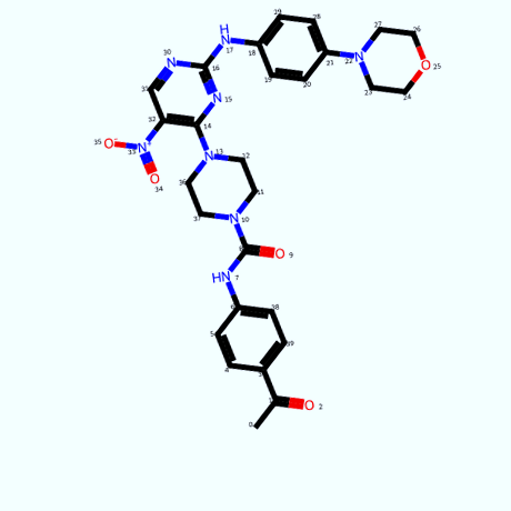 CC(=O)c1ccc(NC(=O)N2CCN(c3nc(Nc4ccc(N5CCOCC5)cc4)ncc3[N+](=O)[O-])CC2)cc1